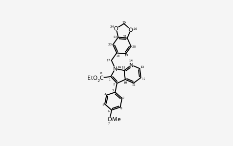 CCOC(=O)c1c(-c2ccc(OC)cc2)c2cccnc2n1Cc1ccc2c(c1)OCO2